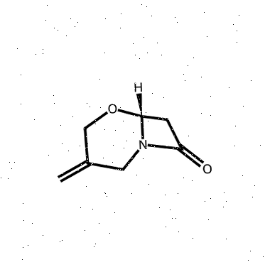 C=C1CO[C@@H]2CC(=O)N2C1